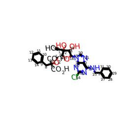 C#C[C@@]1(O)[C@@H](COC(Cc2ccccc2)(C(=O)O)C(=O)O)OC(n2cnc3c(NCc4ccccc4)nc(Cl)nc32)[C@@H]1O